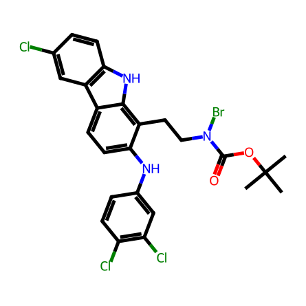 CC(C)(C)OC(=O)N(Br)CCc1c(Nc2ccc(Cl)c(Cl)c2)ccc2c1[nH]c1ccc(Cl)cc12